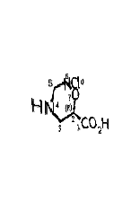 Cl.O=C(O)[C@H]1CNCCO1